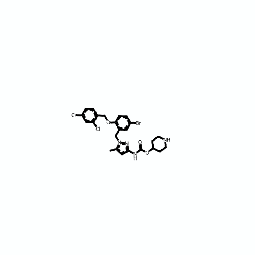 Cc1cc(NC(=O)OC2CCNCC2)nn1Cc1cc(Br)ccc1OCc1ccc(Cl)cc1Cl